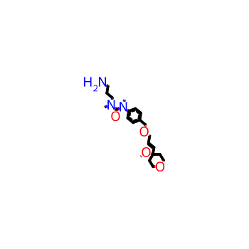 COC1(/C=C/COCc2ccc(N(C)C(=O)N(C)CCCN)cc2)CCOCC1